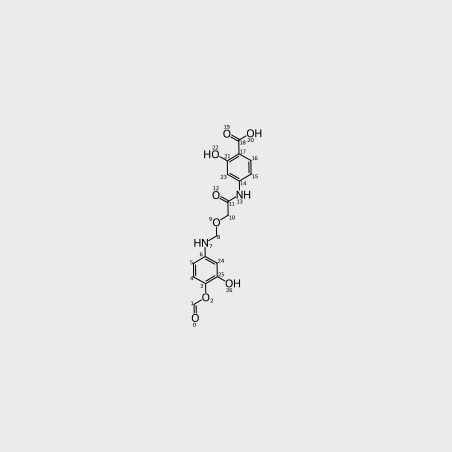 O=COc1ccc(NCOCC(=O)Nc2ccc(C(=O)O)c(O)c2)cc1O